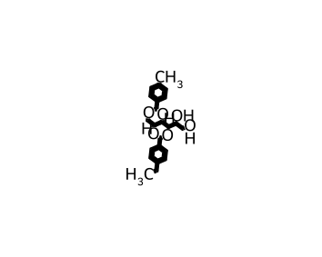 CCc1ccc(C2O[C@H]([C@H](O)CO)[C@@H]3OC(c4ccc(C)cc4)OC[C@@H]3O2)cc1